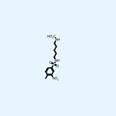 Cc1ccc(S(=O)(=O)NCCCCCNC(=O)O)cc1[N+](=O)[O-]